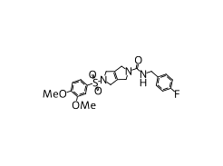 COc1ccc(S(=O)(=O)N2CC3=C(CN(C(=O)NCc4ccc(F)cc4)C3)C2)cc1OC